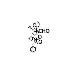 O=CN(C[C@@H](CCC1CC1)C(=O)N1C(=O)OC[C@@H]1Cc1ccccc1)OC1CCCCO1